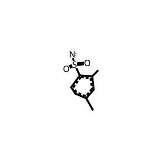 Cc1ccc(S([N])(=O)=O)c(C)c1